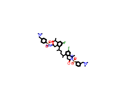 CC(C)c1cc(F)cc(C(C)CCC(C)c2cc(F)cc(C(C)C)c2CC(=O)NS(=O)(=O)c2cccc(CN(C)C)c2)c1CC(=O)NS(=O)(=O)c1ccc(CN(C)C)cc1